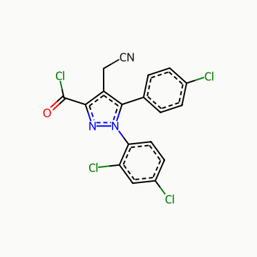 N#CCc1c(C(=O)Cl)nn(-c2ccc(Cl)cc2Cl)c1-c1ccc(Cl)cc1